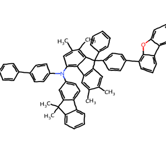 Cc1cc2c(cc1C)C(c1ccccc1)(c1ccc(-c3cccc4c3oc3ccccc34)cc1)c1c(C)c(C)cc(N(c3ccc(-c4ccccc4)cc3)c3ccc4c(c3)C(C)(C)c3ccccc3-4)c1-2